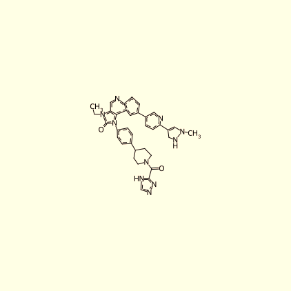 CCn1c(=O)n(-c2ccc(C3CCN(C(=O)c4nnc[nH]4)CC3)cc2)c2c3cc(-c4ccc(C5=CN(C)NC5)nc4)ccc3ncc21